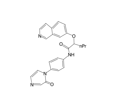 CCCC(Oc1ccc2ccncc2c1)C(=O)Nc1ccc(-n2ccncc2=O)cc1